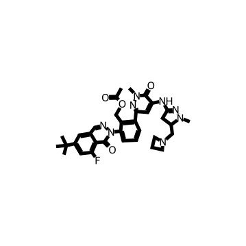 CC(=O)OCc1c(-c2cc(NC3=NN(C)C(CN4CCC4)C3)c(=O)n(C)n2)cccc1-n1ncc2cc(C(C)(C)C)cc(F)c2c1=O